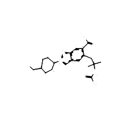 CC(C)(Cc1cc2cn(C3CCC(CO)CC3)nc2cc1C(N)=O)OC(N)=O